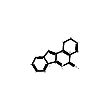 O=C1N=C2C(=Cc3ccccc32)C2=C1C=CCC2